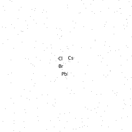 [Br].[Cl].[Cs].[Pb]